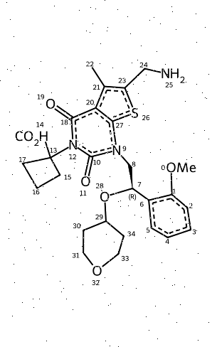 COc1ccccc1[C@H](Cn1c(=O)n(C2(C(=O)O)CCC2)c(=O)c2c(C)c(CN)sc21)OC1CCOCC1